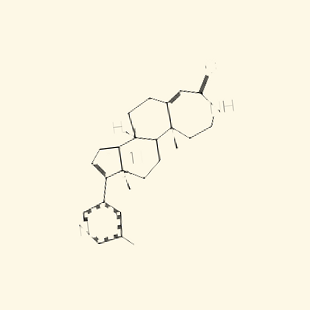 Cc1cncc(C2=CC[C@H]3[C@@H]4CCC5=CC(=O)NCC[C@]5(C)C4CC[C@]23C)c1